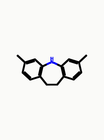 Cc1ccc2c(c1)Nc1cc(C)ccc1CC2